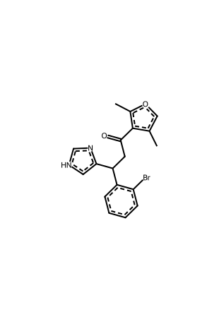 Cc1coc(C)c1C(=O)CC(c1c[nH]cn1)c1ccccc1Br